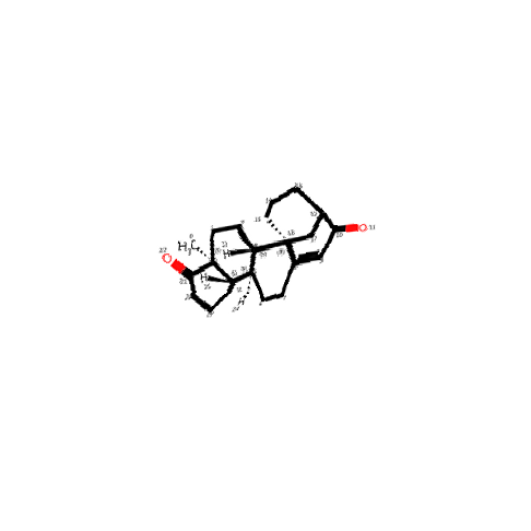 C[C@]12CC[C@H]3[C@@H](CCC4=CC(=O)C5CCC[C@]43C5)[C@@H]1CCC2=O